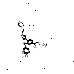 CCOc1ncc(Nc2cc(C(CC)CC(=O)O)ccc2-c2cnn(CCN3CCOCC3)c2)cn1